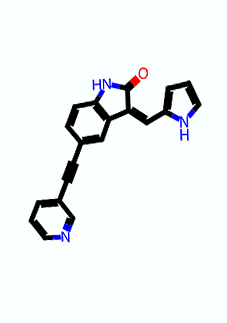 O=C1Nc2ccc(C#Cc3cccnc3)cc2C1=Cc1ccc[nH]1